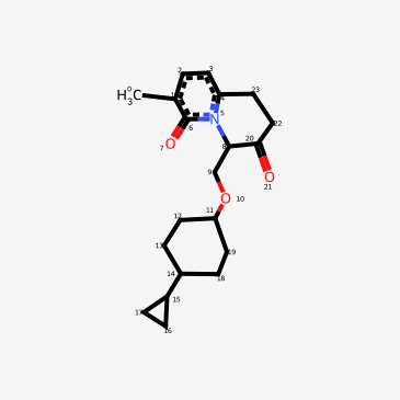 Cc1ccc2n(c1=O)C(COC1CCC(C3CC3)CC1)C(=O)CC2